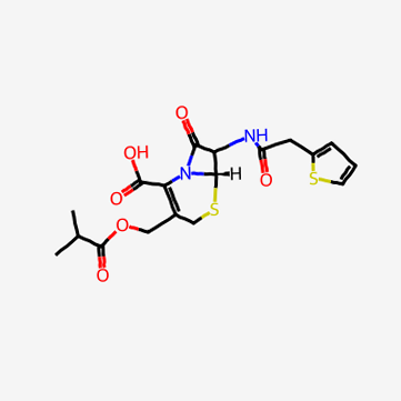 CC(C)C(=O)OCC1=C(C(=O)O)N2C(=O)C(NC(=O)Cc3cccs3)[C@@H]2SC1